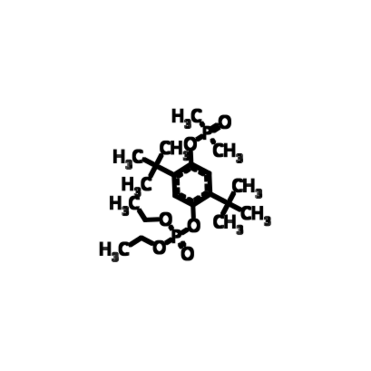 CCOP(=O)(OCC)Oc1cc(C(C)(C)C)c(OP(C)(C)=O)cc1C(C)(C)C